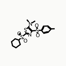 Cc1ccc(S(=O)(=O)c2nc(S(=O)(=O)C3CCCCC3)sc2N(C)C)cc1